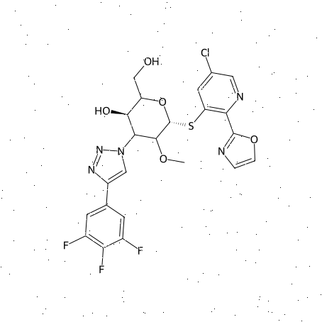 COC1C(n2cc(-c3cc(F)c(F)c(F)c3)nn2)[C@@H](O)C(CO)O[C@@H]1Sc1cc(Cl)cnc1-c1ncco1